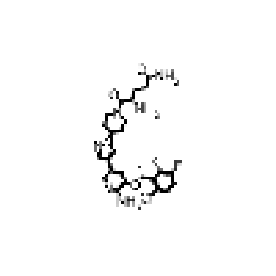 C[C@@H](Oc1cc(-c2cnn(C3CCN(C(=O)[C@@H](N)CCC(N)=O)CC3)c2)cnc1N)c1c(Cl)ccc(F)c1Cl